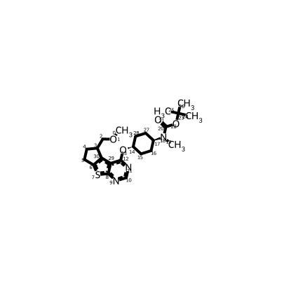 COCC1CCc2sc3ncnc(O[C@H]4CC[C@H](N(C)C(=O)OC(C)(C)C)CC4)c3c21